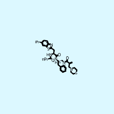 C=C(CN1CCSCC1)C(=O)NC[C@H](Cc1ccccc1)NC(=O)C(Cc1nc2ccc(C(C)C)cc2s1)NC(=O)CCC